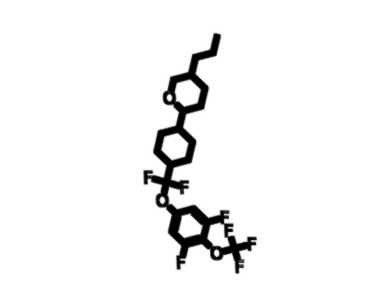 CCCC1CCC(C2CCC(C(F)(F)Oc3cc(F)c(OC(F)(F)F)c(F)c3)CC2)OC1